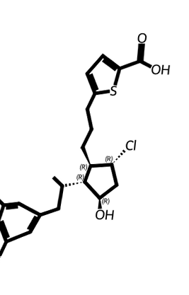 CC(Cc1cc(F)cc(F)c1)[C@@H]1[C@@H](CCCc2ccc(C(=O)O)s2)[C@H](Cl)C[C@H]1O